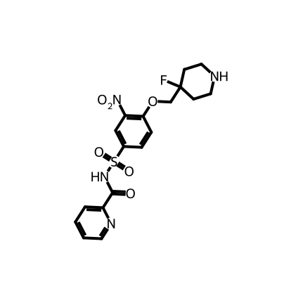 O=C(NS(=O)(=O)c1ccc(OCC2(F)CCNCC2)c([N+](=O)[O-])c1)c1ccccn1